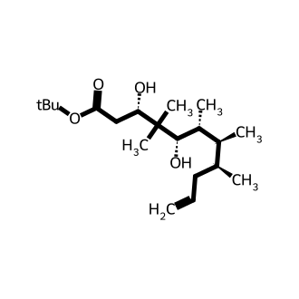 C=CC[C@H](C)[C@H](C)[C@@H](C)[C@H](O)C(C)(C)[C@@H](O)CC(=O)OC(C)(C)C